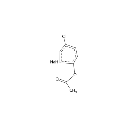 CC(=O)Oc1ccc(Cl)cc1.[NaH]